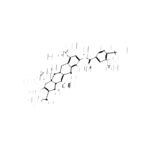 CN(C)c1cc(NC(=O)c2ccc3c(c2)B(O)OC3(C)C)c(O)c2c1C[C@@H]1C[C@H]3[C@H](N(C)C)C(O)=C(C(N)=O)C(=O)[C@@]3(O)C(O)=C1C2=O